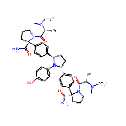 CC(C)[C@@H](C(=O)N1CCC[C@@]1(C(N)=O)c1ccc([C@H]2CC[C@H](c3ccc([C@]4(C(N)=O)CCCN4C(=O)[C@H](C(C)C)N(C)C(=O)O)cc3)N2c2ccc(O)cc2)cc1)N(C)C(=O)O